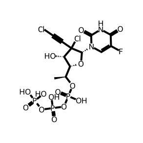 C[C@H](OP(=O)(O)OP(=O)(O)OP(=O)(O)O)[C@H]1O[C@@H](n2cc(F)c(=O)[nH]c2=O)C(Cl)(C#CCl)[C@H]1O